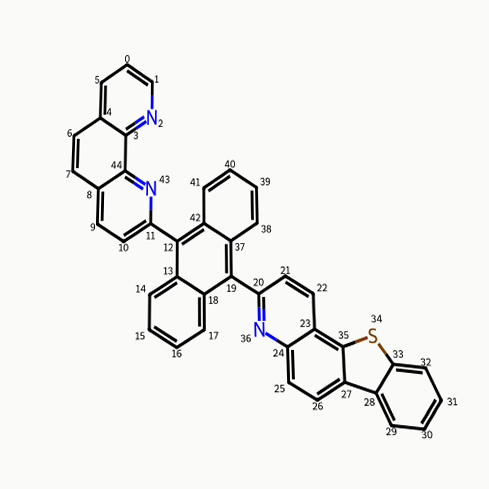 c1cnc2c(c1)ccc1ccc(-c3c4ccccc4c(-c4ccc5c(ccc6c7ccccc7sc56)n4)c4ccccc34)nc12